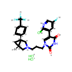 Cl.Cl.O=c1[nH]c(=O)n(CCCN2C[C@@H]3C[C@]3(c3ccc(C(F)(F)F)cc3)C2)cc1-c1cc(F)cnc1Cl